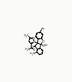 Cc1cc(C(N)=O)n(C23C(=O)c4c(N)cccc4C2(O)Oc2cc(C(C)C)ccc23)n1